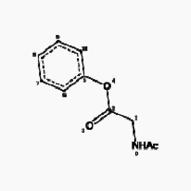 CC(=O)NCC(=O)Oc1ccccc1